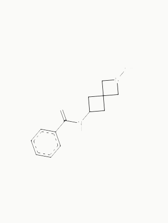 CN1CC2(CC(NC(=O)c3ccccc3)C2)C1